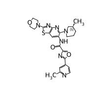 Cc1cc(-c2nc(C(=O)Nc3cc4sc(N5CCOCC5)nc4nc3N3CCC[C@H](C)C3)co2)ccn1